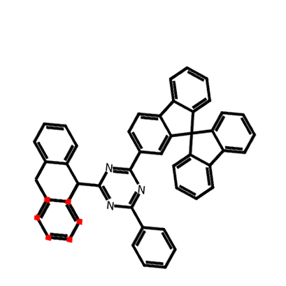 c1ccc(-c2nc(-c3ccc4c(c3)C3(c5ccccc5-c5ccccc53)c3ccccc3-4)nc(C34c5ccccc5C(c5ccccc53)c3ccccc34)n2)cc1